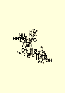 CSCC[C@H](NC(=O)[C@H](CCCNC(=N)N)NC(=O)CNC(=O)[C@@H](N)CC(C)C)C(=O)NCC(=O)N[C@@H](CC(C)C)C(=O)N1CCC[C@H]1C(=O)O